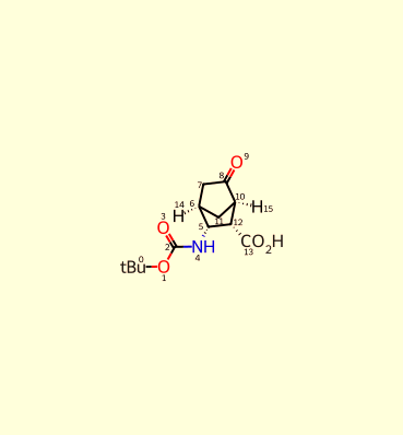 CC(C)(C)OC(=O)N[C@@H]1[C@H]2CC(=O)[C@H](C2)[C@@H]1C(=O)O